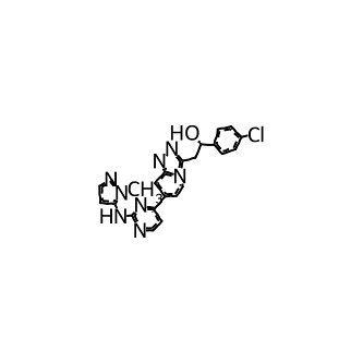 Cn1nccc1Nc1nccc(-c2ccn3c(C[C@@H](O)c4ccc(Cl)cc4)nnc3c2)n1